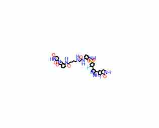 Nc1ncc(-c2ccc(S(=O)(=O)Nc3cccc(NC(=O)CNCCCCC(=O)Nc4cccc5c4CN(C4CCC(=O)NC4=O)C5=O)c3)cc2F)cc1-c1ccc2c(c1)CCNC2=O